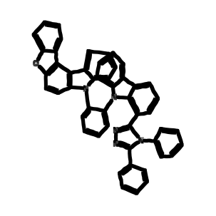 c1ccc(-c2nnc(-c3cccc4c5ccccc5n(-c5ccccc5-n5c6ccccc6c6c7c(ccc65)oc5ccccc57)c34)n2-c2ccccc2)cc1